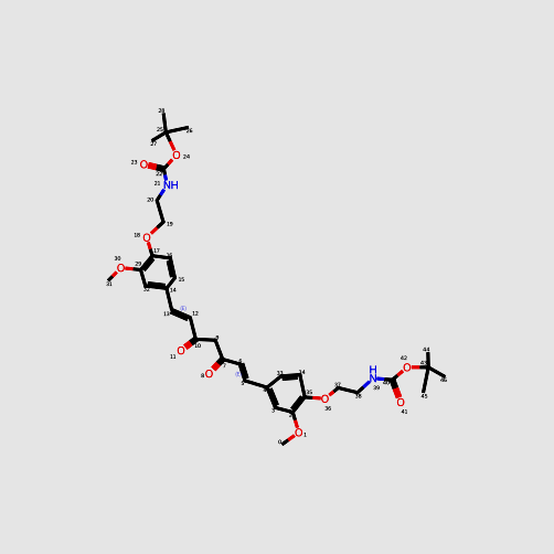 COc1cc(/C=C/C(=O)CC(=O)/C=C/c2ccc(OCCNC(=O)OC(C)(C)C)c(OC)c2)ccc1OCCNC(=O)OC(C)(C)C